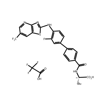 CC(C)(C)[C@H](NC(=O)c1ccc(-c2ccc(Nc3nc4ncc(C(F)(F)F)cc4s3)c(F)c2)cc1)C(=O)O.O=C(O)C(F)(F)F